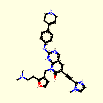 CN(C)CCc1occc1Cn1c(=O)c(C#Cc2nccn2C)cc2cnc(Nc3ccc(C4=CCNCC4)cc3)nc21